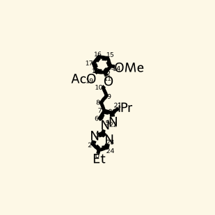 CCc1cnc(-n2cc(CCCOc3c(OC)cccc3OC(C)=O)c(C(C)C)n2)nc1